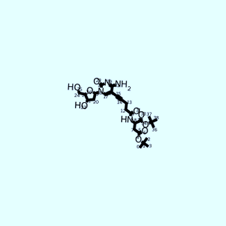 CC(C)(C)OC(=O)CC(NC(=O)CCC#Cc1cn(C2CC(O)C(CO)O2)c(=O)nc1N)C(=O)OC(C)(C)C